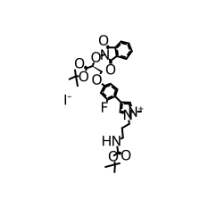 C[n+]1cc(-c2ccc(OC[C@H](ON3C(=O)c4ccccc4C3=O)C(=O)OC(C)(C)C)cc2F)cn1CCCNC(=O)OC(C)(C)C.[I-]